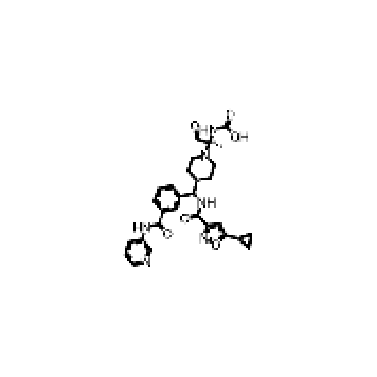 C[C@](C=O)(NC(=O)O)N1CCC(C(NC(=O)c2cc(C3CC3)on2)c2cccc(C(=O)Nc3cccnc3)c2)CC1